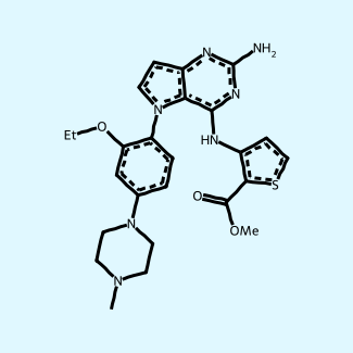 CCOc1cc(N2CCN(C)CC2)ccc1-n1ccc2nc(N)nc(Nc3ccsc3C(=O)OC)c21